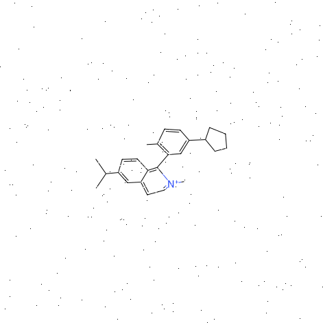 Cc1ccc(C2CCCC2)cc1-c1c2ccc(C(C)C)cc2cc[n+]1C